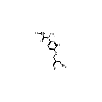 CCNC(=O)N(C)c1ccc(OC/C(=C/F)CN)cc1.Cl